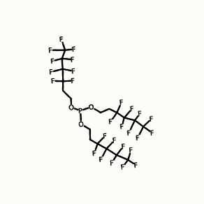 FC(F)(F)C(F)(F)C(F)(F)C(F)(F)CCOP(OCCC(F)(F)C(F)(F)C(F)(F)C(F)(F)F)OCCC(F)(F)C(F)(F)C(F)(F)C(F)(F)F